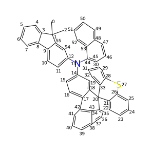 CC1(C)c2ccccc2-c2ccc(N(c3ccc4c(c3)C3(c5ccccc5Sc5ccccc53)c3cccc5cccc-4c35)c3cccc4ccccc34)cc21